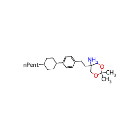 CCCCCC1CCC(c2ccc(CCC3(N)COC(C)(C)OC3)cc2)CC1